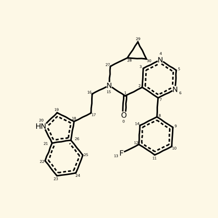 O=C(c1cncnc1-c1cccc(F)c1)N(CCc1c[nH]c2ccccc12)CC1CC1